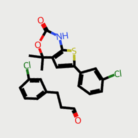 CC1(C)OC(=O)Nc2sc(-c3cccc(Cl)c3)cc21.O=CCCc1cccc(Cl)c1